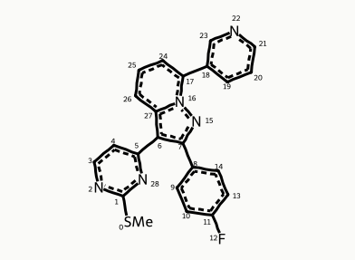 CSc1nccc(-c2c(-c3ccc(F)cc3)nn3c(-c4cccnc4)cccc23)n1